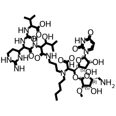 CCCCCN(CCCNC(=O)C(NC(=O)C(NC(=O)NC(C(=O)O)C(C)C)C1CCNC(=N)N1)C(O)C(C)C)C(C(=O)O)C(O[C@H]1O[C@H](CN)[C@H](O)[C@H]1OC)[C@H]1O[C@@H](n2ccc(=O)[nH]c2=O)[C@H](O)[C@@H]1O